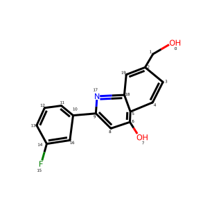 OCc1ccc2c(O)cc(-c3cccc(F)c3)nc2c1